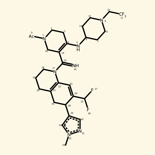 CC(=O)N1CCC(NC2CCN(CC(F)(F)F)CC2)=C(C(=N)N2CCCC3=C2C=C(C(F)F)C(c2cnn(C)c2)C3)C1